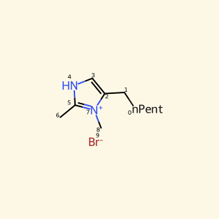 CCCCCCc1c[nH]c(C)[n+]1C.[Br-]